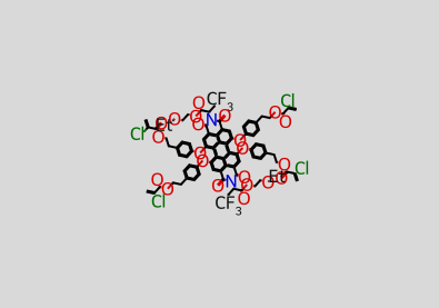 C=C(Cl)C(=O)OCCc1ccc(Oc2cc3c4c(cc(Oc5ccc(CCOC(=O)C(=C)Cl)cc5)c5c6c(Oc7ccc(CCOC(=O)C(=C)Cl)cc7)cc7c8c(cc(Oc9ccc(CCOC(=O)C(=C)Cl)cc9)c(c2c45)c86)C(=O)N(C(CC(F)(F)F)C(=O)OCCOCC)C7=O)C(=O)N(C(CC(F)(F)F)C(=O)OCCOCC)C3=O)cc1